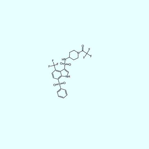 O=C(N1CCC(NS(=O)(=O)c2c[nH]c3c(S(=O)(=O)c4ccccc4)ccc(C(F)(F)F)c23)CC1)C(F)(F)F